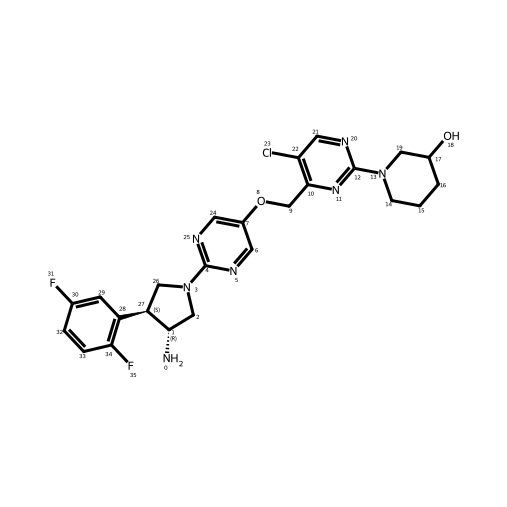 N[C@H]1CN(c2ncc(OCc3nc(N4CCCC(O)C4)ncc3Cl)cn2)C[C@@H]1c1cc(F)ccc1F